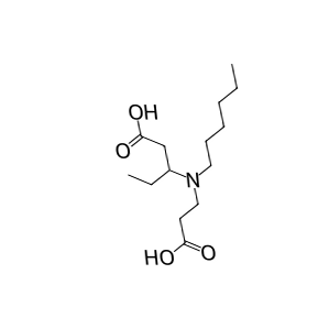 CCCCCCN(CCC(=O)O)C(CC)CC(=O)O